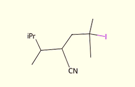 CC(C)C(C)C(C#N)CC(C)(C)I